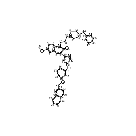 COc1ccc2c(c1)cc(-c1nnn(Cc3cccc(OCc4ccc5ccccc5n4)c3)n1)c(=O)n2CCCN1CCN(Cc2ccccn2)CC1